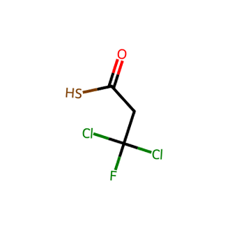 O=C(S)CC(F)(Cl)Cl